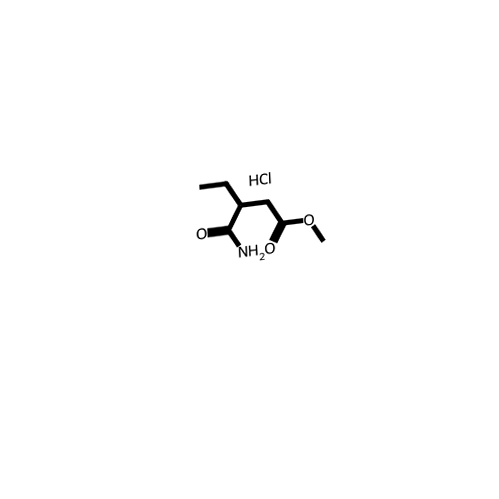 CCC(CC(=O)OC)C(N)=O.Cl